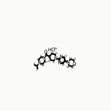 CC(C)N1CCN(C(=O)C2CCN(c3ncc(N4CCOCC4)cn3)CC2)CC1.Cl